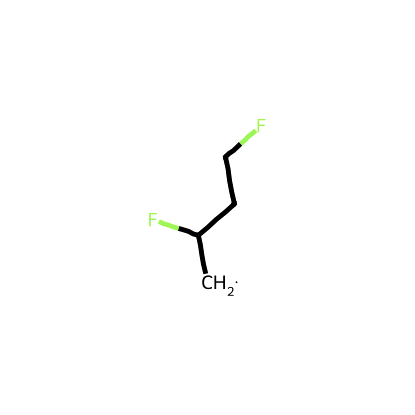 [CH2]C(F)CCF